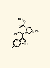 CC(C)(C)OC(=O)N1C[C@H](O)C[C@H]1C(CN=O)c1c[nH]c2cc(F)ccc12